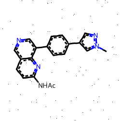 CC(=O)Nc1ccc2cncc(-c3ccc(-c4cnn(C)c4)cc3)c2n1